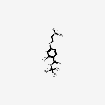 CN(C)CCOc1ccc(C(=O)OC(C)(C)C)c(N)c1